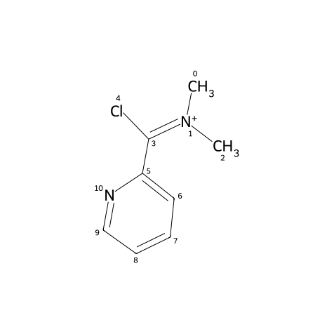 C[N+](C)=C(Cl)c1ccccn1